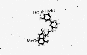 CCNc1cc(-c2cc(NCCn3c(C)cc4c(OC)ccc(F)c43)ncn2)cc(F)c1C(=O)O